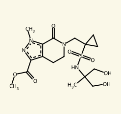 COC(=O)c1nn(C)c2c1CCN(CC1(S(=O)(=O)NC(C)(CO)CO)CC1)C2=O